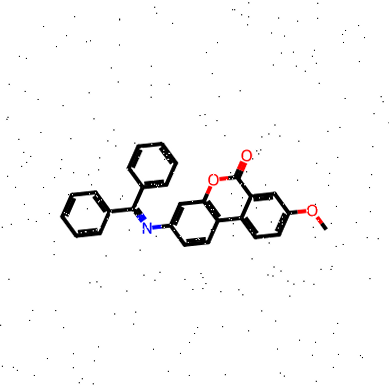 COc1ccc2c(c1)c(=O)oc1cc(N=C(c3ccccc3)c3ccccc3)ccc12